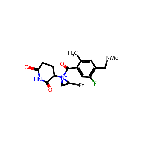 CCC1C[N+]1(C(=O)c1cc(F)c(CNC)cc1C)C1CCC(=O)NC1=O